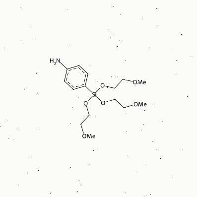 COCCO[Si](OCCOC)(OCCOC)c1ccc(N)cc1